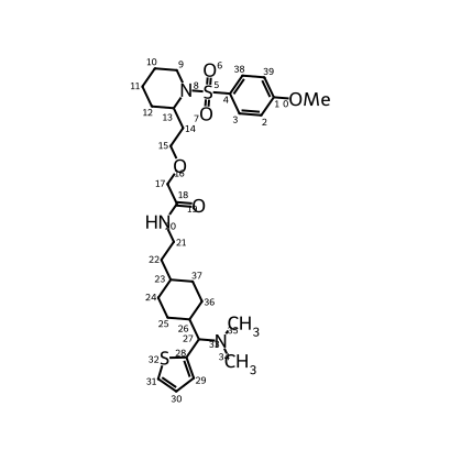 COc1ccc(S(=O)(=O)N2CCCCC2CCOCC(=O)NCCC2CCC(C(c3cccs3)N(C)C)CC2)cc1